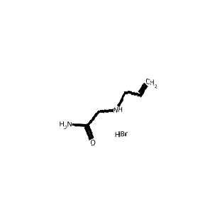 Br.C=CCNCC(N)=O